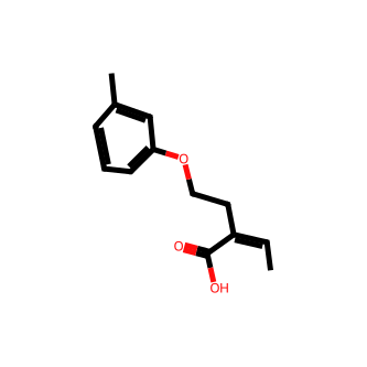 CC=C(CCOc1cccc(C)c1)C(=O)O